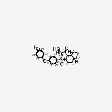 O=C(NO)[C@H]1[C@H]2CCO[C@H]2CCN1S(=O)(=O)c1ccc(Oc2ccc(F)cc2)cc1